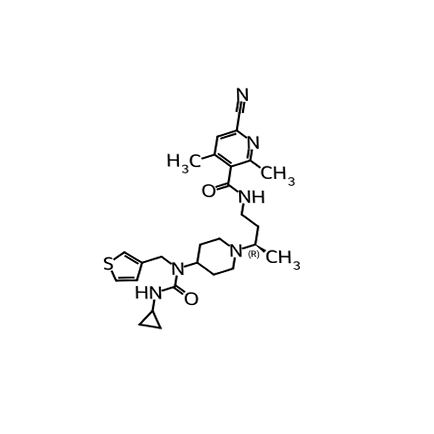 Cc1cc(C#N)nc(C)c1C(=O)NCC[C@@H](C)N1CCC(N(Cc2ccsc2)C(=O)NC2CC2)CC1